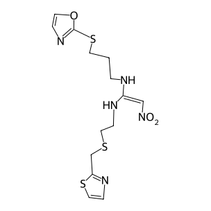 O=[N+]([O-])/C=C(/NCCCSc1ncco1)NCCSCc1nccs1